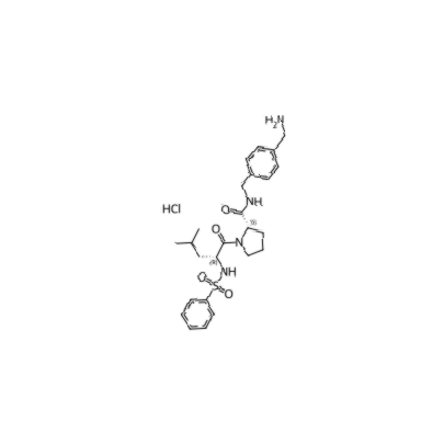 CC(C)C[C@@H](NS(=O)(=O)c1ccccc1)C(=O)N1CCC[C@H]1C(=O)NCc1ccc(CN)cc1.Cl